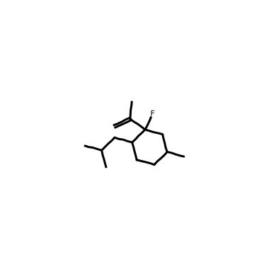 C=C(C)C1(F)CC(C)CCC1CC(C)C